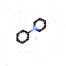 [F-].c1ccc(-[n+]2ccccc2)cc1